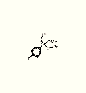 CO[Si](OC(C)C)(OC(C)C)c1ccc(I)cc1